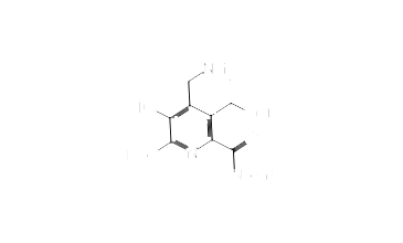 CCCCCC(=O)c1nc(C)c(O)c(CN)c1CO